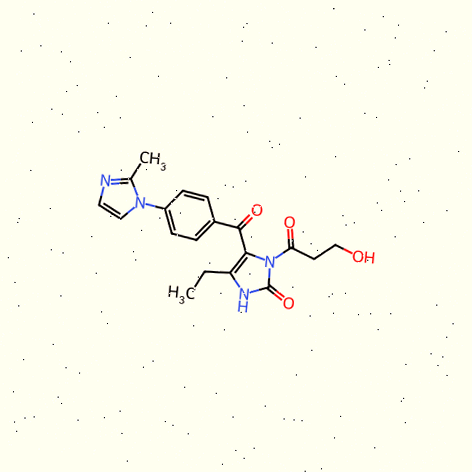 CCc1[nH]c(=O)n(C(=O)CCO)c1C(=O)c1ccc(-n2ccnc2C)cc1